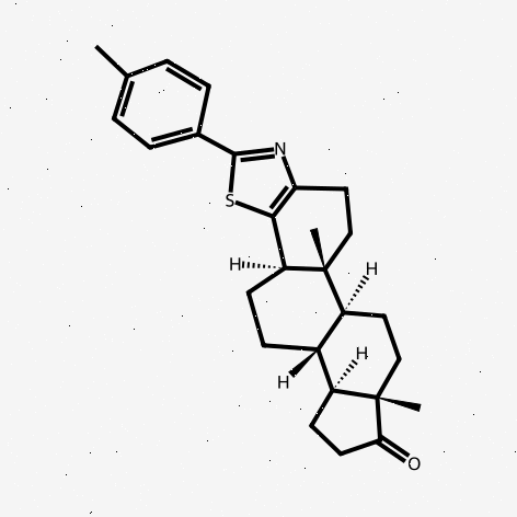 Cc1ccc(-c2nc3c(s2)[C@@H]2CC[C@@H]4[C@H](CC[C@]5(C)C(=O)CC[C@@H]45)[C@@]2(C)CC3)cc1